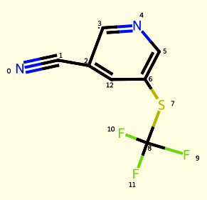 N#Cc1[c]ncc(SC(F)(F)F)c1